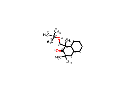 CC1(C)CC2CCCCC2C(C)(CO[Si](C)(C)C)C1=O